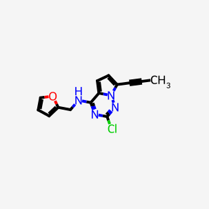 CC#Cc1ccc2c(NCc3ccco3)nc(Cl)nn12